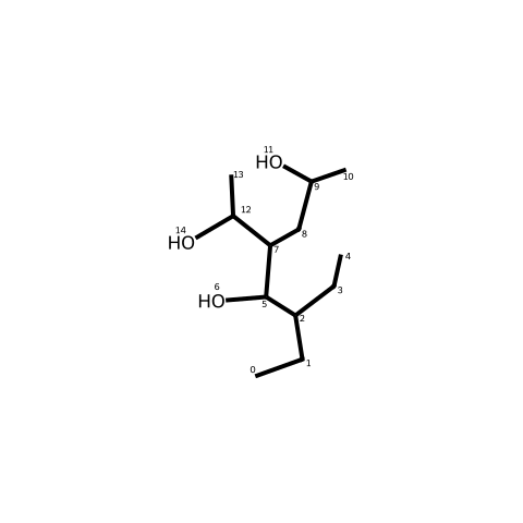 CCC(CC)C(O)C(CC(C)O)C(C)O